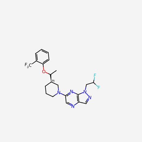 CC(Oc1ccccc1C(F)(F)F)[C@@H]1CCCN(c2cnc3cnn(CC(F)F)c3n2)C1